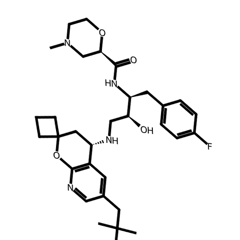 CN1CCO[C@@H](C(=O)N[C@@H](Cc2ccc(F)cc2)[C@@H](O)CN[C@H]2CC3(CCC3)Oc3ncc(CC(C)(C)C)cc32)C1